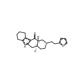 O=C1c2c([nH]c3c2CCCC3)C[C@@H]2CCN(CCc3ccco3)C[C@@H]12